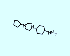 N[C@H]1CC[C@H](N2CCN(C3CCCC3)CC2)CC1